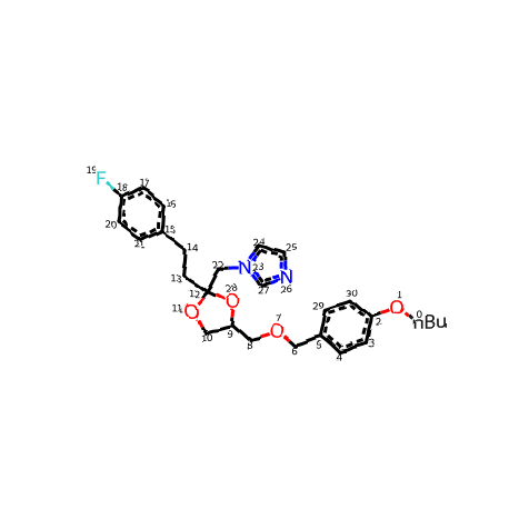 CCCCOc1ccc(COCC2COC(CCc3ccc(F)cc3)(Cn3ccnc3)O2)cc1